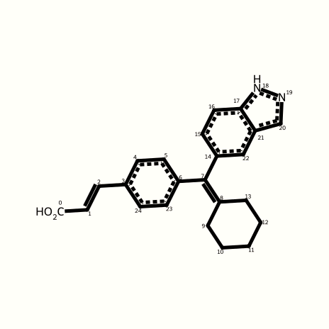 O=C(O)/C=C/c1ccc(C(=C2CCCCC2)c2ccc3[nH]ncc3c2)cc1